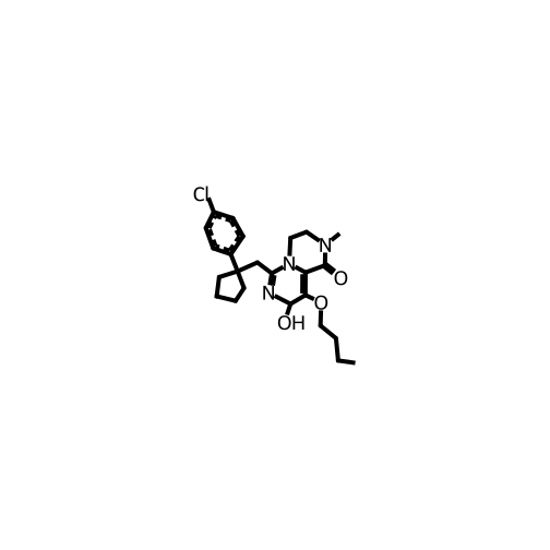 CCCCOC1=C2C(=O)N(C)CCN2C(CC2(c3ccc(Cl)cc3)CCCC2)=NC1O